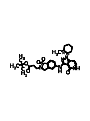 C[C@H]1CCCC[C@@H]1n1nc(Nc2ccc3c(c2)CN(CCC(=O)OC(C)(C)C)S3(=O)=O)c2c(=O)[nH]ccc21